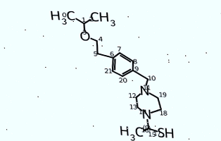 CC(C)OCCc1ccc(CN2CCN([C@H](C)S)CC2)cc1